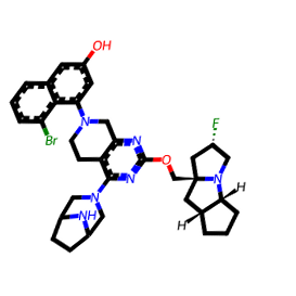 Oc1cc(N2CCc3c(nc(OC[C@@]45C[C@H](F)CN4[C@@H]4CCC[C@@H]4C5)nc3N3CC4CCC(C3)N4)C2)c2c(Br)cccc2c1